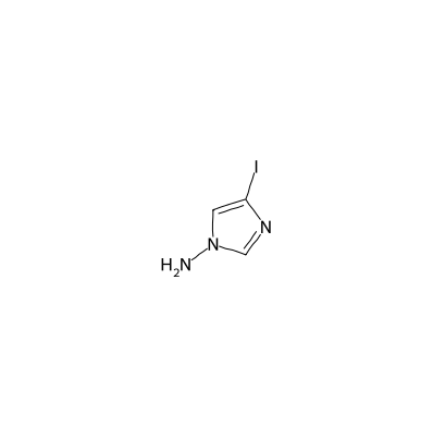 Nn1cnc(I)c1